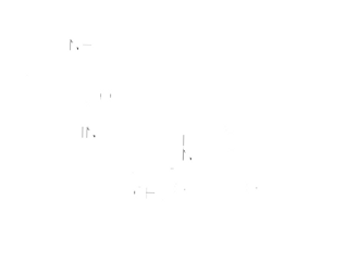 CC(CCNC(=O)Cc1c[nH]c2ccccc12)CC(=O)NCC(=O)C(CCc1ccccc1)OCc1ccccc1